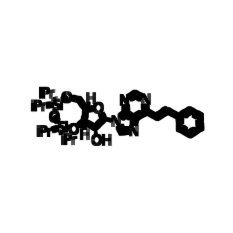 CC(C)[Si]1(C(C)C)OC[C@H]2O[C@@H](n3cnc4c(C=Cc5ccccc5)ncnc43)[C@H](O)[C@@H]2O[Si](C(C)C)(C(C)C)O1